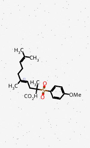 COc1ccc(S(=O)(=O)C(C)(C/C=C(\C)CCC=C(C)C)C(=O)O)cc1